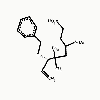 C=C[C@H](OCc1ccccc1)C(C)(C)CC(CCS(=O)(=O)O)NC(C)=O